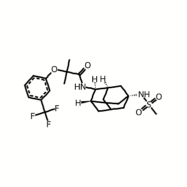 CC(C)(Oc1cccc(C(F)(F)F)c1)C(=O)N[C@H]1[C@@H]2CC3C[C@H]1C[C@](NS(C)(=O)=O)(C3)C2